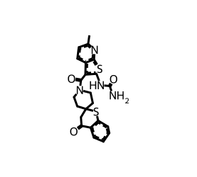 Cc1ccc2c(C(=O)N3CCC4(CC3)CC(=O)c3ccccc3S4)c(NC(N)=O)sc2n1